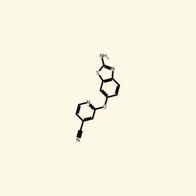 N#Cc1ccnc(Oc2ccc3nc(N)sc3c2)c1